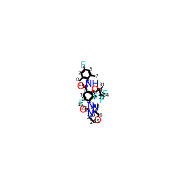 Cc1cc(F)cc(C)c1NC(=O)c1cc(F)c(-n2nc3n(c2=O)CCOC3)cc1O[C@@H](C)C(F)(F)F